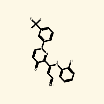 N=C/C=C(\Nc1ccccc1Cl)c1nn(-c2cccc(C(F)(F)F)c2)ccc1=O